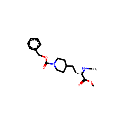 BN[C@@H](CCC1CCN(C(=O)OCc2ccccc2)CC1)C(=O)OC